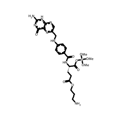 CO[Si](OC)(OC)OC(=O)[C@H](CCC(=O)OCCCN)NC(=O)c1ccc(NCc2cnc3[nH]c(N)nc(=O)c3n2)cc1